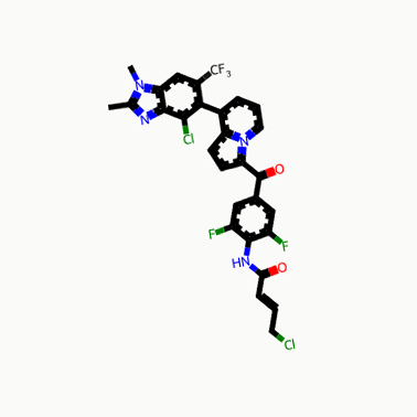 Cc1nc2c(Cl)c(-c3cccn4c(C(=O)c5cc(F)c(NC(=O)/C=C/CCl)c(F)c5)ccc34)c(C(F)(F)F)cc2n1C